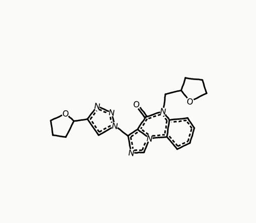 O=c1c2c(-n3cc(C4CCCO4)nn3)ncn2c2ccccc2n1CC1CCCO1